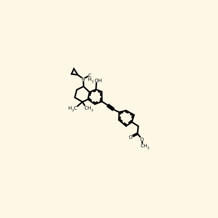 COC(=O)Cc1ccc(C#Cc2cc(O)c3c(c2)C(C)(C)CCC3N(C)C2CC2)cc1